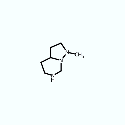 CN1CCC2CCNCN21